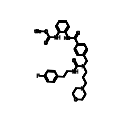 CC(C)(C)OC(=O)Nc1ccccc1NC(=O)c1ccc(CN(CCCN2CCOCC2)C(=O)NCCc2ccc(F)cc2)cc1